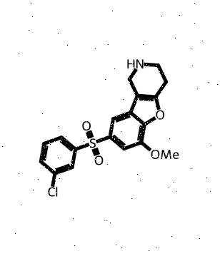 COc1cc(S(=O)(=O)c2cccc(Cl)c2)cc2c3c(oc12)CCNC3